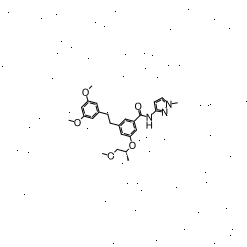 COC[C@H](C)Oc1cc(CCc2cc(OC)cc(OC)c2)cc(C(=O)Nc2ccn(C)n2)c1